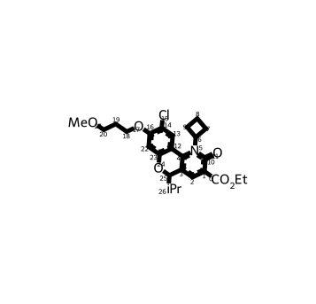 CCOC(=O)c1cc2c(n(C3CCC3)c1=O)-c1cc(Cl)c(OCCCOC)cc1OC2C(C)C